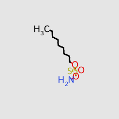 CCCCCCCCCOS(=O)(=S)ON